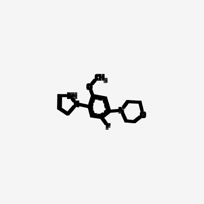 COc1cc(N2CCOCC2)c(F)cc1N1CC=CN1